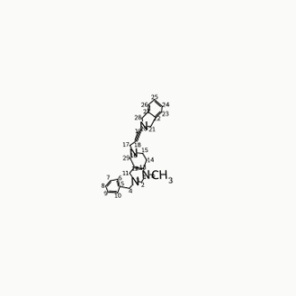 CN1CN(Cc2ccccc2)CC2=C1CCN(CC#CN1Cc3ccccc3C1)C2